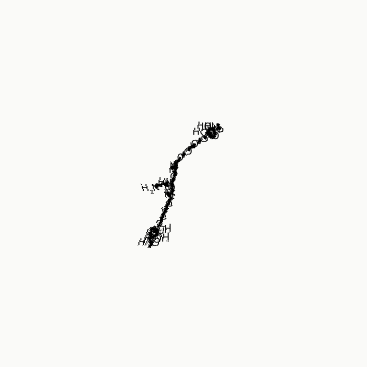 CC(=O)N[C@H]1[C@H]2OC[C@](COCCOCCOCCOCCn3cc(COCC(COCc4cn(CCOCCOCCOCCOC[C@@]56CO[C@@H](O5)[C@H](NC(C)=O)[C@@H](O)[C@H]6O)nn4)NC(=O)CCCN)nn3)(O2)[C@H](O)[C@@H]1O